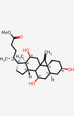 C=C1C23C[C@H](O)[C@]4(C)[C@@H]([C@H](C)CCC(=O)OC)CC[C@H]4C2[C@H](O)C[C@@H]2C[C@H](O)CC[C@@]123